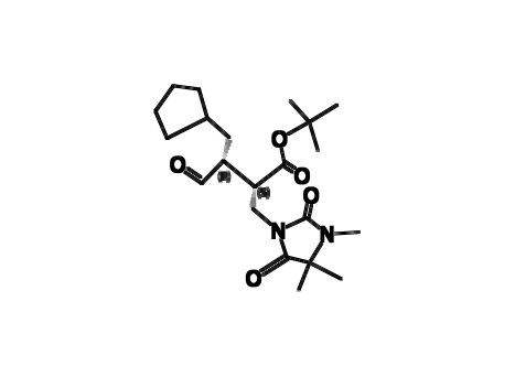 CN1C(=O)N(C[C@@H](C(=O)OC(C)(C)C)[C@H](C=O)CC2CCCC2)C(=O)C1(C)C